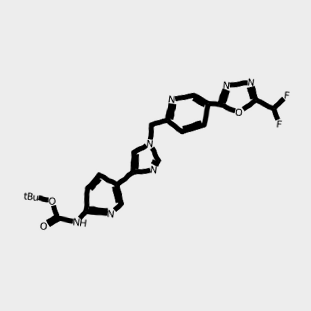 CC(C)(C)OC(=O)Nc1ccc(-c2cn(Cc3ccc(-c4nnc(C(F)F)o4)cn3)cn2)cn1